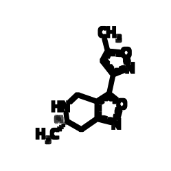 Cc1cc(-c2onc3c2CN[C@@H](C)C3)no1